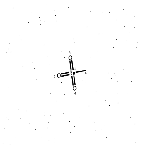 [CH3][Re](=[O])(=[O])=[O]